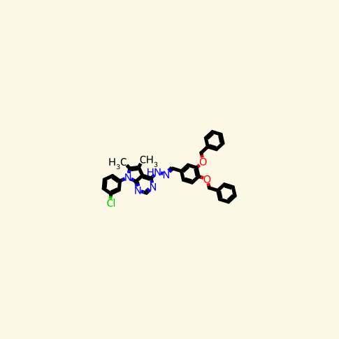 Cc1c(C)n(-c2cccc(Cl)c2)c2ncnc(NN=Cc3ccc(OCc4ccccc4)c(OCc4ccccc4)c3)c12